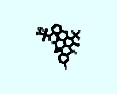 CNS(=O)(=O)Nc1cccc(Oc2c(C(=O)NC3CC3)c(Nc3ccc(I)cc3F)n(C)c(=O)c2C(F)(F)F)c1Cl